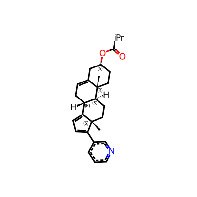 CC(C)C(=O)O[C@H]1CC[C@@]2(C)C(=CC[C@H]3C4=CC=C(c5cccnc5)[C@@]4(C)CC[C@@H]32)C1